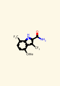 COc1ccc(C(F)(F)F)c2[nH]c(C(N)=O)c(C(F)(F)F)c12